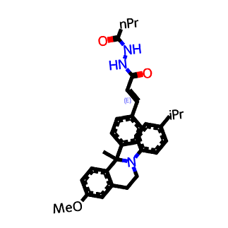 CCCC(=O)NNC(=O)/C=C/c1ccc(C2(C)c3ccc(OC)cc3CCN2c2ccc(C(C)C)cc2)cc1